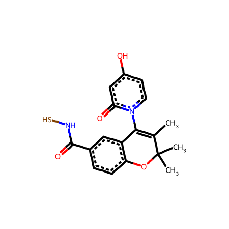 CC1=C(n2ccc(O)cc2=O)c2cc(C(=O)NS)ccc2OC1(C)C